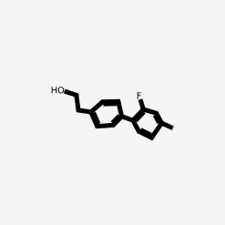 Cc1ccc(-c2ccc(CCO)cc2)c(F)c1